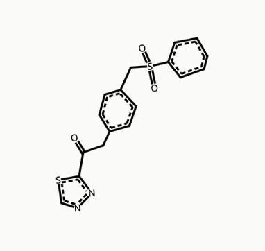 O=C(Cc1ccc(CS(=O)(=O)c2ccccc2)cc1)c1nncs1